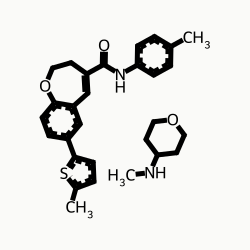 CNC1CCOCC1.Cc1ccc(NC(=O)C2=Cc3cc(-c4ccc(C)s4)ccc3OCC2)cc1